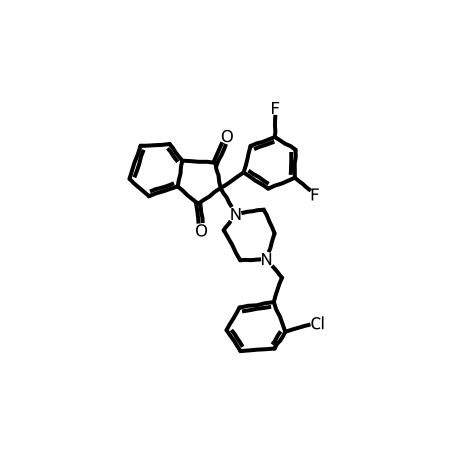 O=C1c2ccccc2C(=O)C1(c1cc(F)cc(F)c1)N1CCN(Cc2ccccc2Cl)CC1